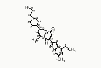 CCc1nc(C)cn2nc(C3=CC(=O)N4C=C(C5CCN(CCO)CC5)C=C(C)C4P3)cc12